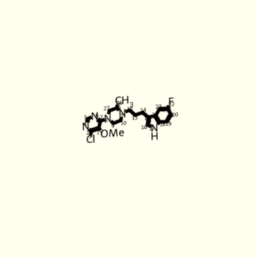 COc1c(Cl)ncnc1N1CCN(CCCc2c[nH]c3ccc(F)cc23)C(C)C1